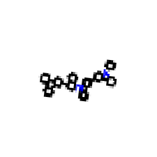 C1=CC2=C(c3ccc4c5c(c6ccccc6c4c3)CCC=C5)C=CC(n3c4ccccc4c4cc(-c5ccc6c(c5)c5c(n6-c6ccccc6)CCC=C5)ccc43)C2C=C1